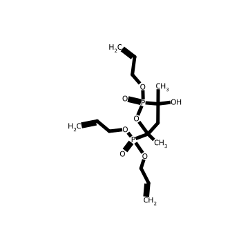 C=CCOP1(=O)OC(C)(P(=O)(OCC=C)OCC=C)CC1(C)O